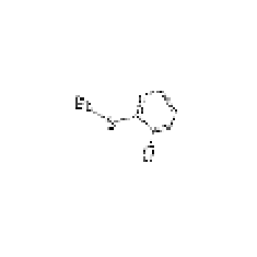 [CH2]CSc1ccccc1Cl